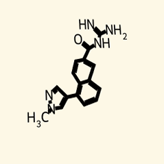 Cn1cc(-c2cccc3cc(C(=O)NC(=N)N)ccc23)cn1